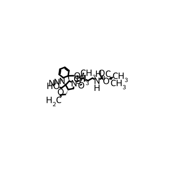 C=CC[C@H]1CN(S(=O)(=O)N(C)CCNC(=O)OC(C)(C)C)[C@H](C2(CC)C=CC=CC2)[C@@]1(N=[N+]=[N-])C(=O)O